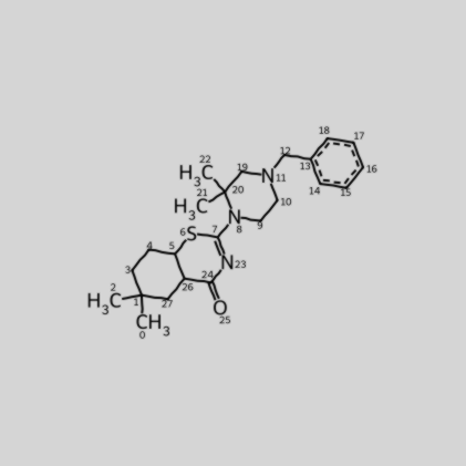 CC1(C)CCC2SC(N3CCN(Cc4ccccc4)CC3(C)C)=NC(=O)C2C1